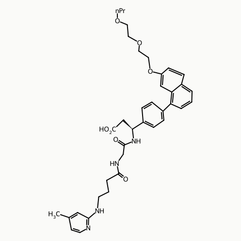 CCCOCCOCCOc1ccc2cccc(-c3ccc([C@H](CC(=O)O)NC(=O)CNC(=O)CCCNc4cc(C)ccn4)cc3)c2c1